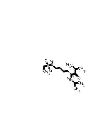 CCS(=O)(=O)NCCCC[C@H](NC(C)C)C(=O)C(C)C